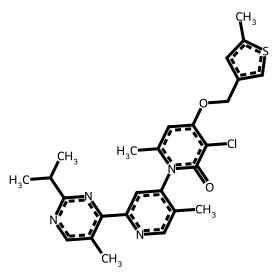 Cc1cc(COc2cc(C)n(-c3cc(-c4nc(C(C)C)ncc4C)ncc3C)c(=O)c2Cl)cs1